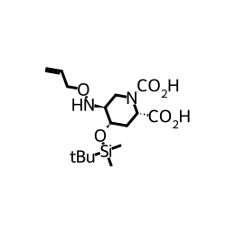 C=CCON[C@H]1CN(C(=O)O)[C@H](C(=O)O)C[C@@H]1O[Si](C)(C)C(C)(C)C